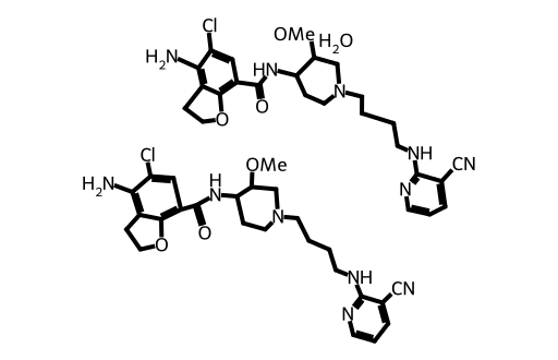 COC1CN(CCCCNc2ncccc2C#N)CCC1NC(=O)c1cc(Cl)c(N)c2c1OCC2.COC1CN(CCCCNc2ncccc2C#N)CCC1NC(=O)c1cc(Cl)c(N)c2c1OCC2.O